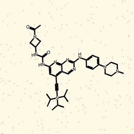 CC(=O)N1CC(NC(=O)Nc2cc(C#C[Si](C(C)C)(C(C)C)C(C)C)c3cnc(Nc4ccc(N5CCN(C)CC5)cc4)nc3n2)C1